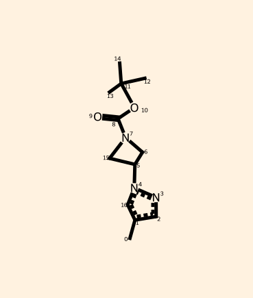 Cc1cnn(C2CN(C(=O)OC(C)(C)C)C2)c1